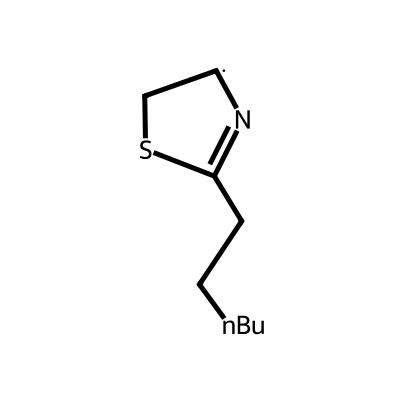 CCCCCCC1=N[CH]CS1